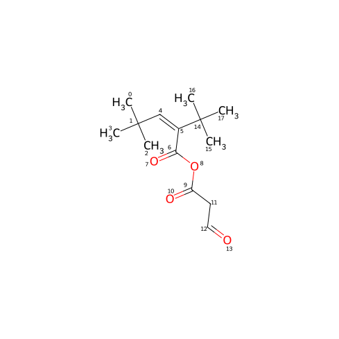 CC(C)(C)C=C(C(=O)OC(=O)CC=O)C(C)(C)C